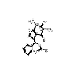 CCC(=O)OC(c1ccccc1)n1cnc2c1c(=O)n(C)c(=O)n2C